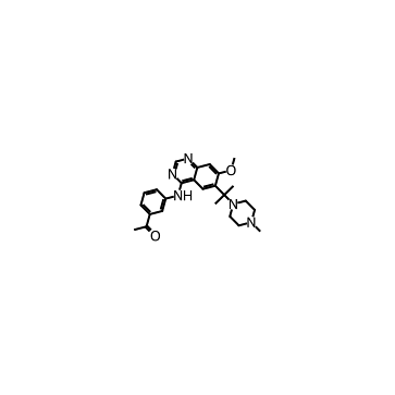 COc1cc2ncnc(Nc3cccc(C(C)=O)c3)c2cc1C(C)(C)N1CCN(C)CC1